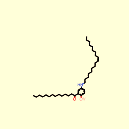 CCCCCCCC/C=C\CCCCCCCCNc1ccc(O)c(C(=O)CCCCCCCCCCCCC)c1